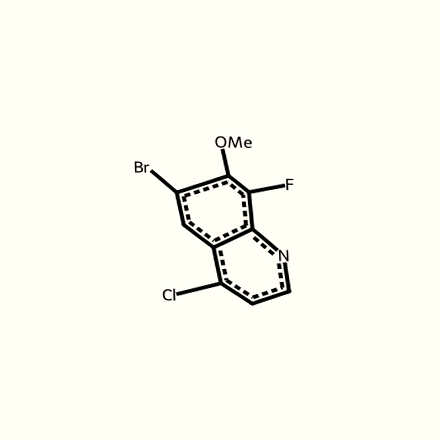 COc1c(Br)cc2c(Cl)ccnc2c1F